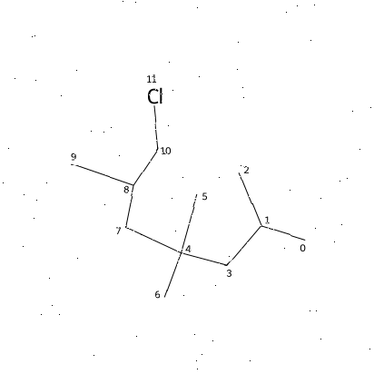 CC(C)CC(C)(C)CC(C)CCl